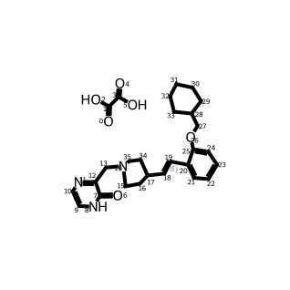 O=C(O)C(=O)O.O=c1[nH]ccnc1CN1CCC(/C=C/c2ccccc2OCC2CCCCC2)CC1